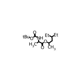 CCC(CC)CC(C)OC(=O)C(C)NC(=O)OC(C)(C)C